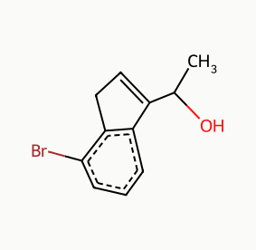 CC(O)C1=CCc2c(Br)cccc21